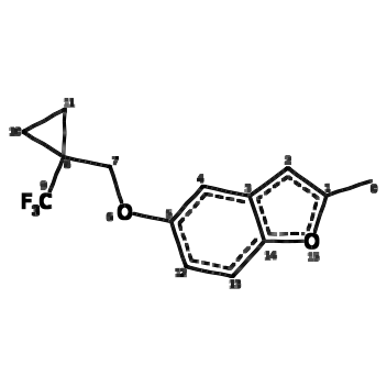 Cc1cc2cc(OCC3(C(F)(F)F)CC3)ccc2o1